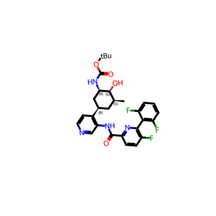 C[C@H]1C[C@@H](c2ccncc2NC(=O)c2ccc(F)c(-c3c(F)cccc3F)n2)C[C@@H](NC(=O)OC(C)(C)C)[C@H]1O